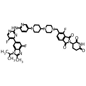 Cc1nc2c(F)cc(-c3nc(Nc4ccc(N5CCC(N6CCN(Cc7ccc8c(c7F)C(=O)N(C7CCC(=O)NC7=O)C8=O)CC6)CC5)cn4)ncc3F)cc2n1C(C)C